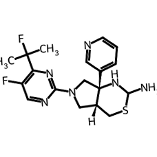 CC(C)(F)c1nc(N2C[C@H]3CSC(N)N[C@@]3(c3cccnc3)C2)ncc1F